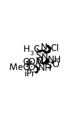 COP(=O)(OC)OCC(CC(C)C)Nc1nc(S[C@@H](C)c2ccc(Cl)cn2)nc2[nH]c(=O)sc12